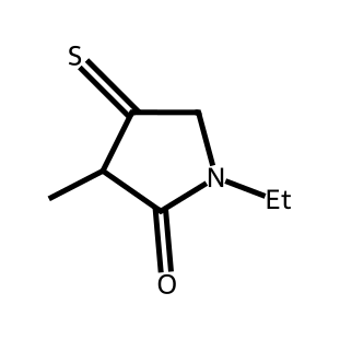 CCN1CC(=S)C(C)C1=O